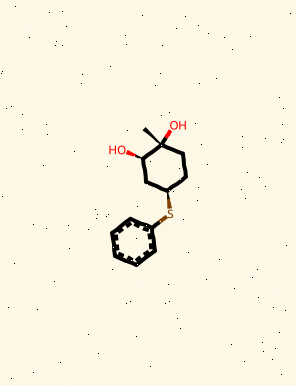 C[C@@]1(O)CC[C@@H](Sc2ccccc2)C[C@H]1O